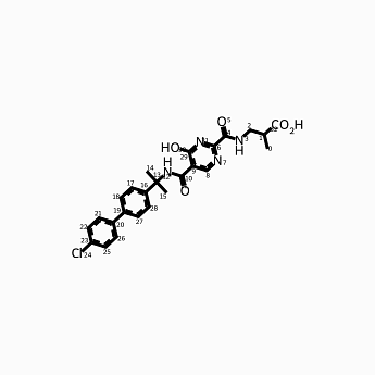 CC(CNC(=O)c1ncc(C(=O)NC(C)(C)c2ccc(-c3ccc(Cl)cc3)cc2)c(O)n1)C(=O)O